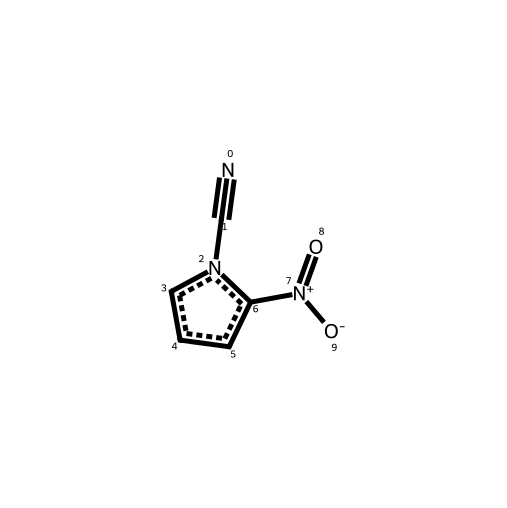 N#Cn1cccc1[N+](=O)[O-]